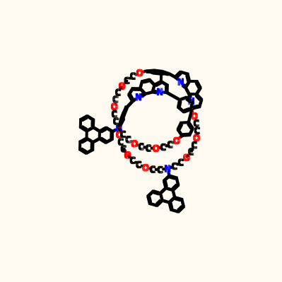 c1ccc2c(c1)c1ccccc1c1cc(N3CCOCCOCCOc4ccc(cc4)-c4ccc5ccc6c(-c7cc8ccc7-c7ccc9ccc%10ccc(nc%10c9n7)-c7ccc(cc7)OCCOCCOCCN(c7ccc9c%10ccccc%10c%10ccccc%10c9c7)CCOCCOCCO8)cc(nc6c5n4)-c4ccc(cc4)OCCOCCOCC3)ccc21